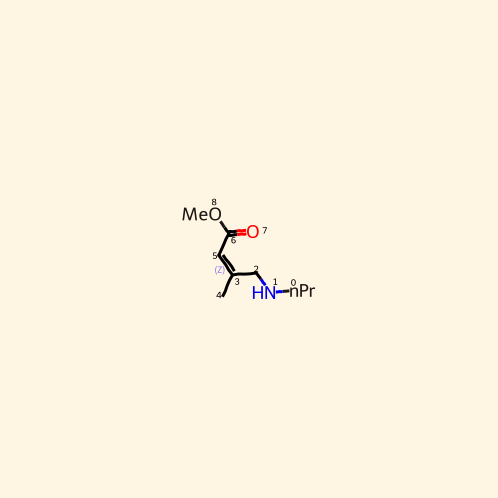 CCCNC/C(C)=C\C(=O)OC